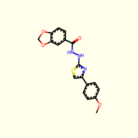 COc1ccc(-c2csc(NNC(=O)c3ccc4c(c3)OCO4)n2)cc1